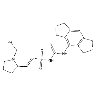 [2H]CN1CCC[C@@H]1/C=C/S(=O)(=O)NC(=O)Nc1c2c(cc3c1CCC3)CCC2